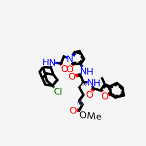 COC(=O)/C=C/CC[C@H](NC(=O)c1oc2ccccc2c1C)C(=O)Nc1cccn(CC(=O)NC2C3CC4CC2CC(Cl)(C4)C3)c1=O